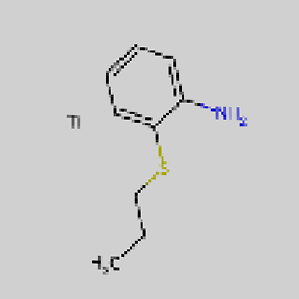 CCCSc1ccccc1N.[Ti]